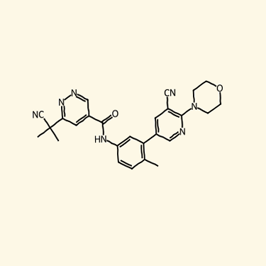 Cc1ccc(NC(=O)c2cnnc(C(C)(C)C#N)c2)cc1-c1cnc(N2CCOCC2)c(C#N)c1